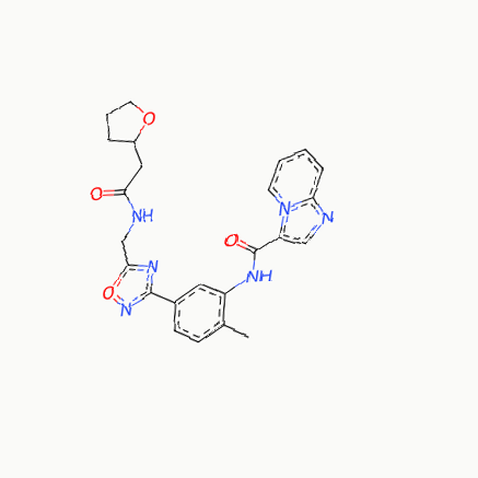 Cc1ccc(-c2noc(CNC(=O)CC3CCCO3)n2)cc1NC(=O)c1cnc2ccccn12